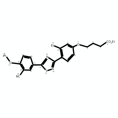 CCOC(=O)CCCOc1ccc(-c2nsc(-c3ccc(OC(C)C)c(C#N)c3)n2)c(CC)c1